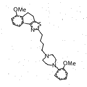 COc1ccccc1N1CCN(CCCCc2nc3c(s2)CCc2c(OC)cccc2-3)CC1